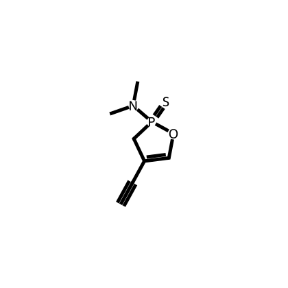 C#CC1=COP(=S)(N(C)C)C1